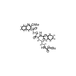 COc1nc2ccccc2cc1C(=O)COC(=O)C(CCCCNC(=O)OC(C)(C)C)NC(=O)OCc1ccccc1